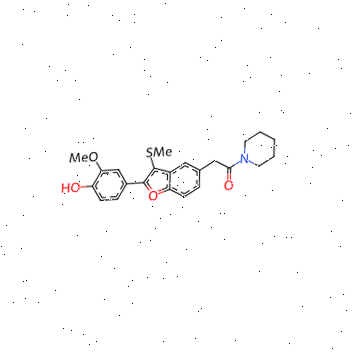 COc1cc(-c2oc3ccc(CC(=O)N4CCCCC4)cc3c2SC)ccc1O